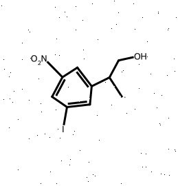 [CH2]C(CO)c1cc(I)cc([N+](=O)[O-])c1